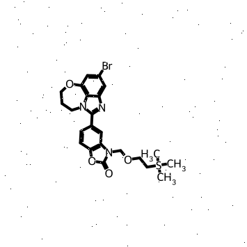 CS(C)(C)CCOCn1c(=O)oc2ccc(-c3nc4cc(Br)cc5c4n3CCCO5)cc21